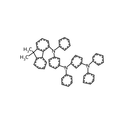 CC1(C)c2ccccc2-c2c(N(c3ccccc3)c3cccc(N(c4ccccc4)c4cccc(N(c5ccccc5)c5ccccc5)c4)c3)cccc21